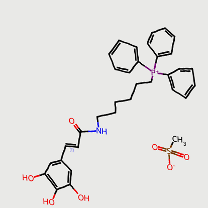 CS(=O)(=O)[O-].O=C(/C=C/c1cc(O)c(O)c(O)c1)NCCCCCC[P+](c1ccccc1)(c1ccccc1)c1ccccc1